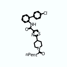 CCCCCC(=O)N1CCC(c2nc(C(=O)Nc3ccccc3-c3ccc(Cl)cc3)cs2)CC1